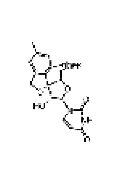 CCCCCCc1cc(C)cc2c1[C@@]1(OC2)[C@@H](CO)O[C@@H](n2ccc(=O)[nH]c2=O)[C@@H]1O